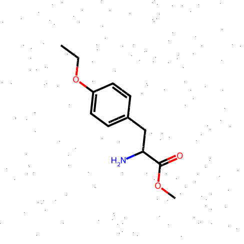 CCOc1ccc(CC(N)C(=O)OC)cc1